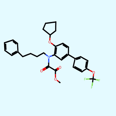 COC(=O)C(=O)N(CCCCc1ccccc1)c1cc(-c2ccc(OC(F)(F)F)cc2)ccc1OC1CCCC1